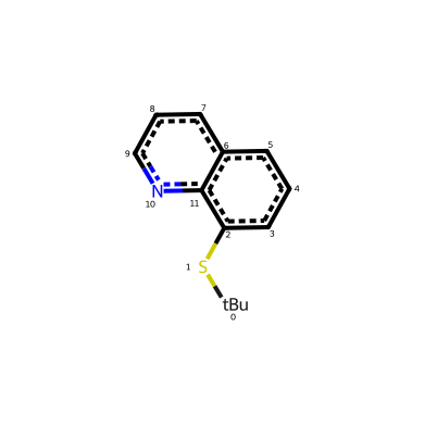 CC(C)(C)Sc1cccc2cccnc12